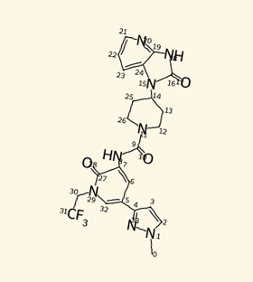 Cn1ccc(-c2cc(NC(=O)N3CCC(n4c(=O)[nH]c5ncccc54)CC3)c(=O)n(CC(F)(F)F)c2)n1